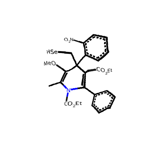 CCOC(=O)C1=C(c2ccccc2)N(C(=O)OCC)C(C)=C(OC)C1(C[SeH])c1ccccc1[N+](=O)[O-]